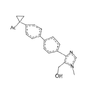 CC(=O)C1(c2ccc(-c3ccc(-c4ncn(C)c4CO)cc3)cc2)CC1